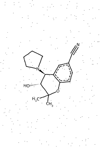 CC1(C)Oc2ccc(C#N)cc2[C@H](N2CCCC2)[C@H]1O